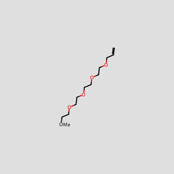 C=CCOCCOCCOCCOCCOC